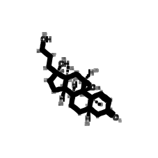 C[C@]12C=CC(=O)C[C@@H]1CC[C@H]1[C@@H]3CC[C@@](O)(CCCO)[C@@]3(C)C[C@H]3O[C@]312